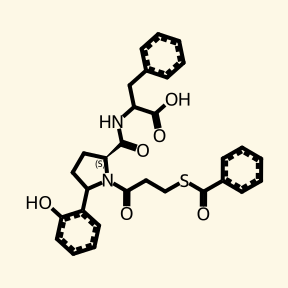 O=C(SCCC(=O)N1C(c2ccccc2O)CC[C@H]1C(=O)NC(Cc1ccccc1)C(=O)O)c1ccccc1